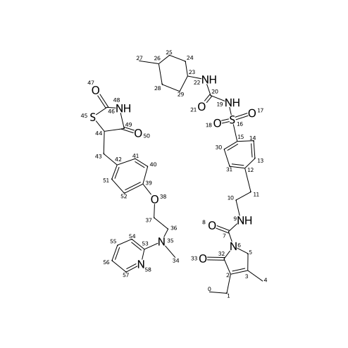 CCC1=C(C)CN(C(=O)NCCc2ccc(S(=O)(=O)NC(=O)NC3CCC(C)CC3)cc2)C1=O.CN(CCOc1ccc(CC2SC(=O)NC2=O)cc1)c1ccccn1